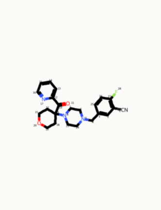 N#Cc1cc(CN2CCN(C3(C(=O)c4ccccn4)CCOCC3)CC2)ccc1F